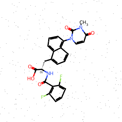 Cn1c(=O)ccn(-c2cccc3c(C[C@H](NC(=O)c4c(F)cccc4F)C(=O)O)cccc23)c1=O